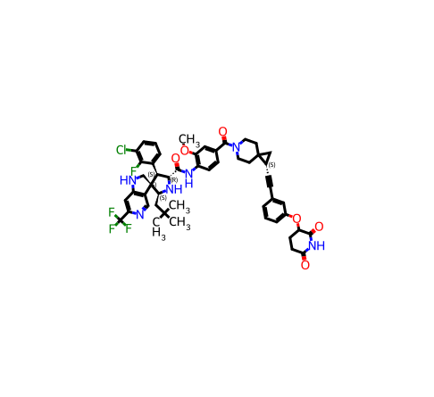 COc1cc(C(=O)N2CCC3(CC2)C[C@@H]3C#Cc2cccc(OC3CCC(=O)NC3=O)c2)ccc1NC(=O)[C@@H]1N[C@@H](CC(C)(C)C)[C@@]2(CNc3cc(C(F)(F)F)ncc32)[C@H]1c1cccc(Cl)c1F